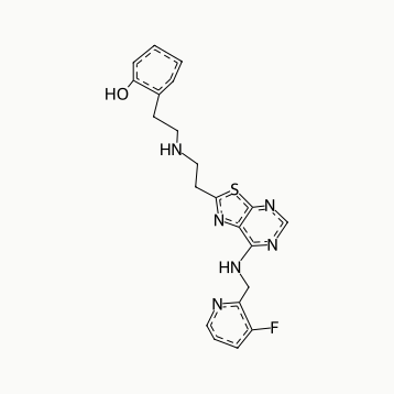 Oc1ccccc1CCNCCc1nc2c(NCc3ncccc3F)ncnc2s1